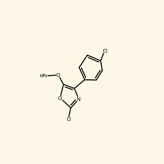 CCCOc1oc(Cl)nc1-c1ccc(Cl)cc1